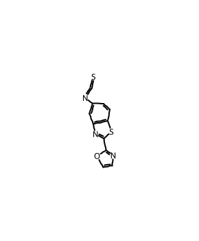 S=C=Nc1ccc2sc(-c3ncco3)nc2c1